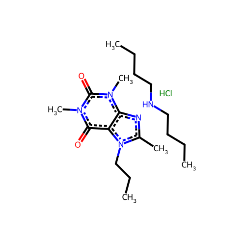 CCCCNCCCC.CCCn1c(C)nc2c1c(=O)n(C)c(=O)n2C.Cl